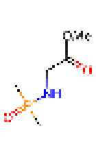 COC(=O)CNP(C)(C)=O